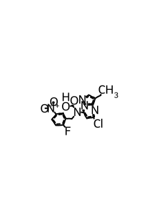 CCc1cnn2c(N(Cc3cc([N+](=O)[O-])ccc3F)C(=O)O)cc(Cl)nc12